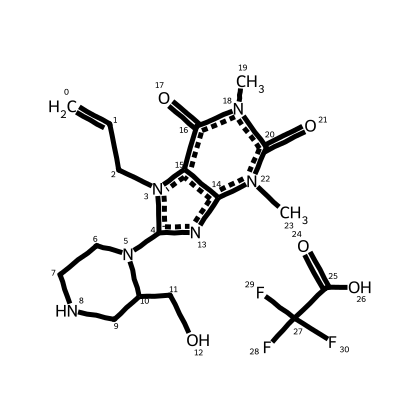 C=CCn1c(N2CCNCC2CO)nc2c1c(=O)n(C)c(=O)n2C.O=C(O)C(F)(F)F